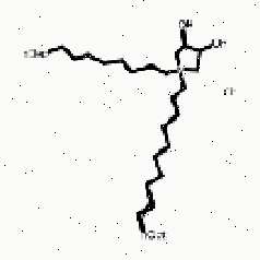 CCCCCCCCC=CCCCCCCCC[N+]1(CCCCCCCCCCCCCCCCCC)CC(O)C(O)C1.[Cl-]